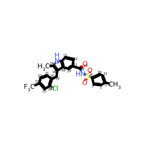 Cc1ccc(S(=O)(=O)NC(=O)c2ccc3[nH]c(C)c(Cc4ccc(C(F)(F)F)cc4Cl)c3c2)cc1